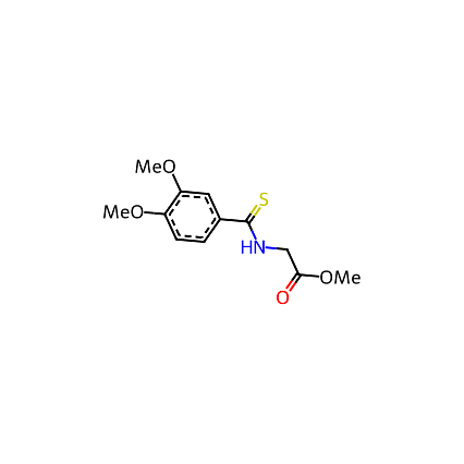 COC(=O)CNC(=S)c1ccc(OC)c(OC)c1